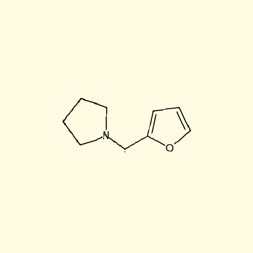 [CH](c1ccco1)N1CCCC1